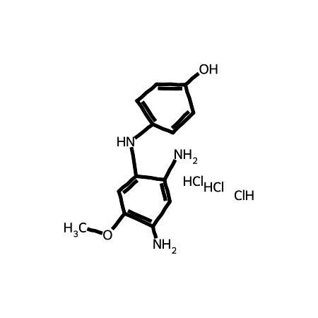 COc1cc(Nc2ccc(O)cc2)c(N)cc1N.Cl.Cl.Cl